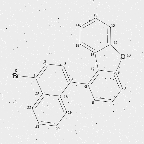 Brc1ccc(-c2cccc3oc4ccccc4c23)c2ccccc12